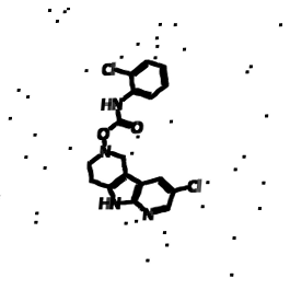 O=C(Nc1ccccc1Cl)ON1CCc2[nH]c3ncc(Cl)cc3c2C1